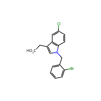 O=C(O)Cc1cn(Cc2ccccc2Br)c2ccc(Cl)cc12